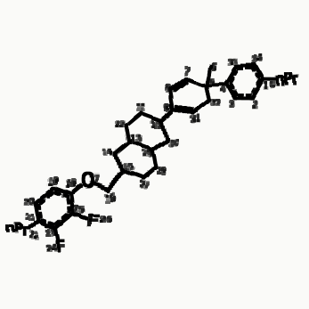 CCCc1ccc(C2(C)C=CC(C3CCC4CC(COc5ccc(CCC)c(F)c5F)CCC4C3)=CC2)cc1